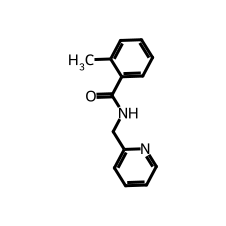 Cc1ccccc1C(=O)NCc1ccccn1